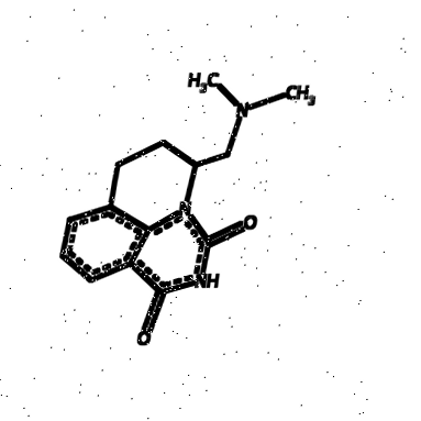 CN(C)CC1CCc2cccc3c(=O)[nH]c(=O)n1c23